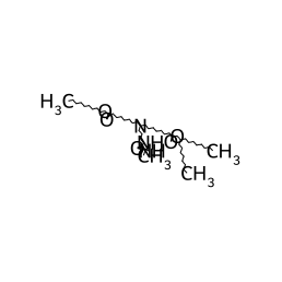 CCCCCCCCCOC(=O)CCCCCCCN(CCCCCCCC(=O)OC(CCCCCCCC)CCCCCCCC)CCCNC(=O)NC